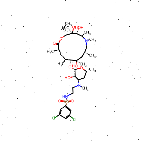 CC[C@H]1OC(=O)[C@H](C)C[C@H](C)[C@@H](O[C@@H]2O[C@H](C)C[C@H](N(C)CCNS(=O)(=O)c3cc(Cl)cc(Cl)c3)[C@H]2O)[C@](C)(O)C[C@@H](C)CN(C)[C@H](C)[C@@H](O)[C@]1(C)O